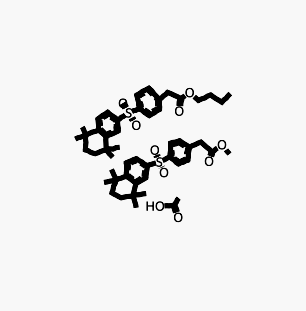 CC(=O)O.CCCCOC(=O)Cc1ccc(S(=O)(=O)c2ccc3c(c2)C(C)(C)CCC3(C)C)cc1.COC(=O)Cc1ccc(S(=O)(=O)c2ccc3c(c2)C(C)(C)CCC3(C)C)cc1